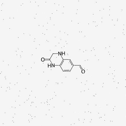 O=Cc1ccc2c(c1)NCC(=O)N2